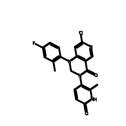 Cc1cc(F)ccc1N1CN(c2ccc(=O)[nH]c2C)C(=O)c2cnc(Cl)cc21